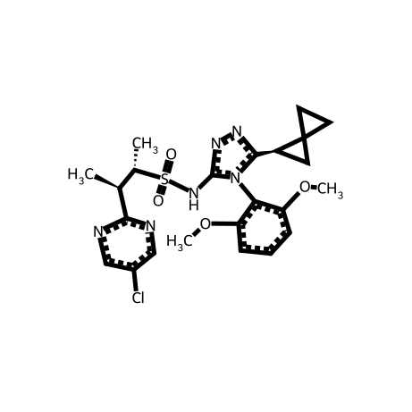 COc1cccc(OC)c1-n1c(NS(=O)(=O)[C@@H](C)[C@H](C)c2ncc(Cl)cn2)nnc1[C@@H]1CC12CC2